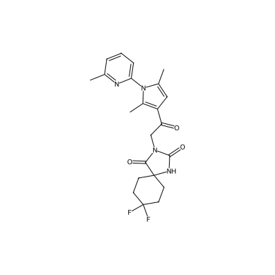 Cc1cccc(-n2c(C)cc(C(=O)CN3C(=O)NC4(CCC(F)(F)CC4)C3=O)c2C)n1